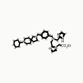 CCOC(=O)Cn1ccnc1CN(Cc1ccc(CN2CCC3(CCN(C4CCCCC4)CC3)C2)cc1)Cc1ncc[nH]1